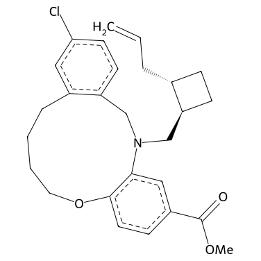 C=CC[C@@H]1CC[C@H]1CN1Cc2ccc(Cl)cc2CCCCOc2ccc(C(=O)OC)cc21